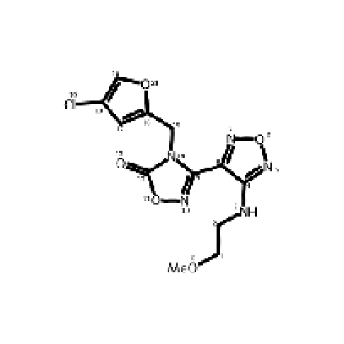 COCCNc1nonc1-c1noc(=O)n1Cc1cc(Cl)co1